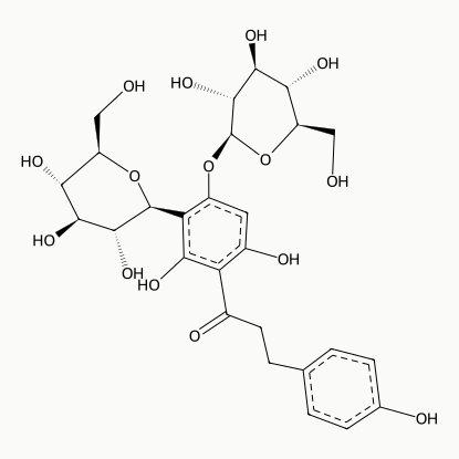 O=C(CCc1ccc(O)cc1)c1c(O)cc(O[C@@H]2O[C@H](CO)[C@@H](O)[C@H](O)[C@H]2O)c([C@@H]2O[C@H](CO)[C@@H](O)[C@H](O)[C@H]2O)c1O